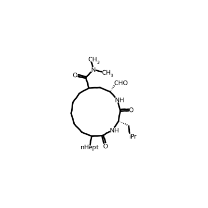 CCCCCCCC1CCCCCC(C(=O)N(C)C)C[C@H](C=O)NC(=O)[C@H](CC(C)C)NC1=O